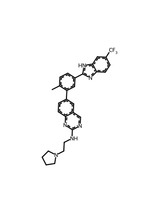 Cc1ccc(-c2nc3ccc(C(F)(F)F)cc3[nH]2)cc1-c1ccc2nc(NCCN3CCCC3)ncc2c1